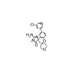 CN1C(=O)C2(CC3(CCOCC3)Oc3ccc(-c4cncc(Cl)c4)cc32)N=C1N